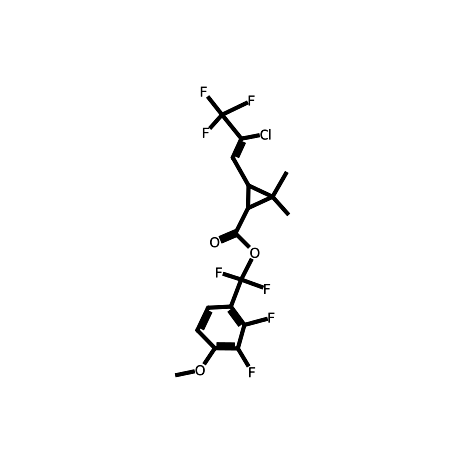 COc1ccc(C(F)(F)OC(=O)C2C(C=C(Cl)C(F)(F)F)C2(C)C)c(F)c1F